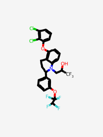 OC(CN1c2cccc(Oc3cccc(Cl)c3Cl)c2CCC1c1cccc(OC(F)(F)C(F)F)c1)C(F)(F)F